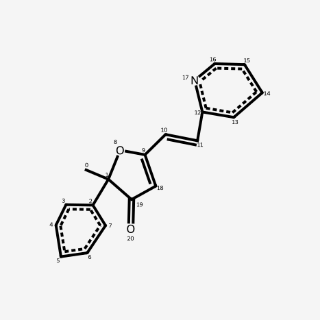 CC1(c2ccccc2)OC(C=Cc2ccccn2)=CC1=O